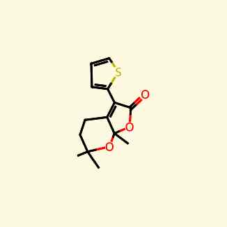 CC1(C)CCC2=C(c3cccs3)C(=O)OC2(C)O1